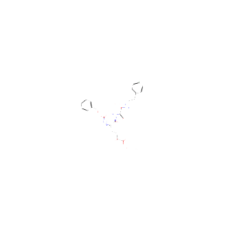 CC(C)(C)OC(=O)C(=O)CC[C@H](NC(=O)OCc1ccccc1)c1nc(C(=O)NCCc2ccc(Cl)cc2)co1